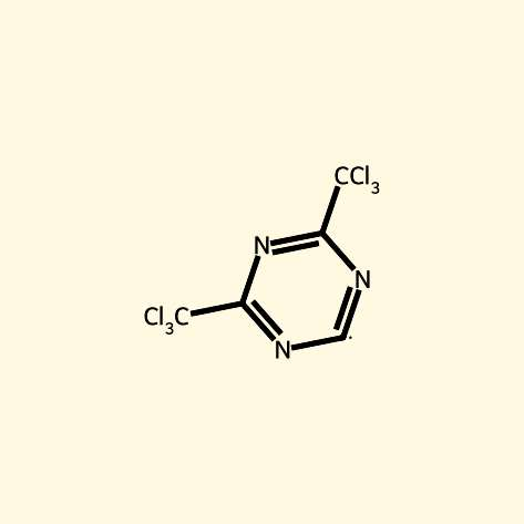 ClC(Cl)(Cl)c1n[c]nc(C(Cl)(Cl)Cl)n1